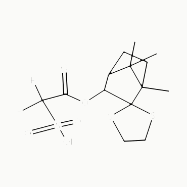 CC1(C)C2CCC1(C)C1(SCCS1)C2OC(=O)C(F)(F)S(=O)(=O)O